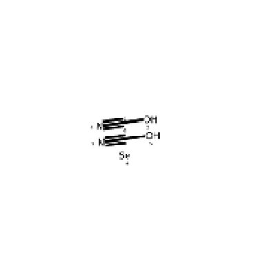 N#CO.N#CO.[Se]